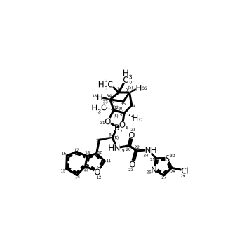 CC1(C)[C@@H]2C[C@H]3OB([C@H](Cc4coc5ccccc45)NC(=O)C(=O)Nc4ncc(Cl)s4)O[C@@]3(C)[C@H]1C2